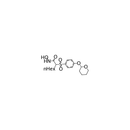 CCCCCCC(C(=O)NO)S(=O)(=O)c1ccc(OC2CCCCO2)cc1